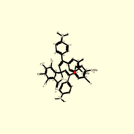 COc1ccc(C(=CC2(C=C(c3ccc(N(C)C)cc3)c3ccc(OC)c(C)c3)OC(=O)c3c(Cl)c(Cl)c(Cl)c(Cl)c32)c2ccc(N(C)C)cc2)cc1C